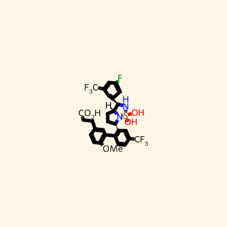 COc1ccc(CCC(=O)O)cc1-c1ccc(C(F)(F)F)cc1[C@@H]1CC[C@H]2[C@@H](c3cc(F)cc(C(F)(F)F)c3)NS(O)(O)N12